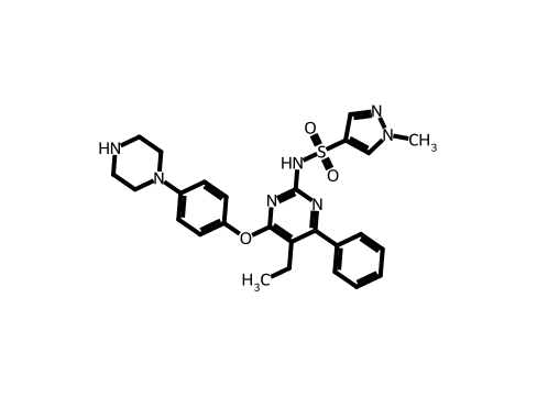 CCc1c(Oc2ccc(N3CCNCC3)cc2)nc(NS(=O)(=O)c2cnn(C)c2)nc1-c1ccccc1